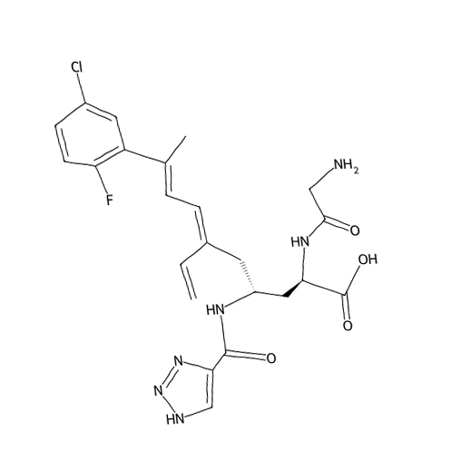 C=C/C(=C\C=C(/C)c1cc(Cl)ccc1F)C[C@H](C[C@@H](NC(=O)CN)C(=O)O)NC(=O)c1c[nH]nn1